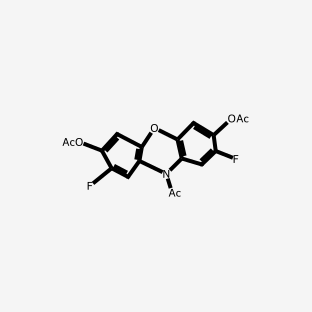 CC(=O)Oc1cc2c(cc1F)N(C(C)=O)c1cc(F)c(OC(C)=O)cc1O2